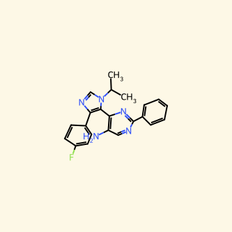 CC(C)n1cnc(-c2ccc(F)cc2)c1-c1nc(-c2ccccc2)ncc1N